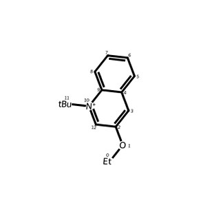 CCOc1cc2ccccc2[n+](C(C)(C)C)c1